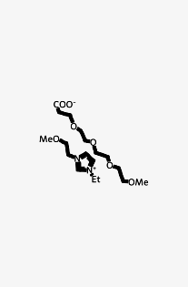 CC[n+]1ccn(CCOC)c1.COCCOCCOCCOCCC(=O)[O-]